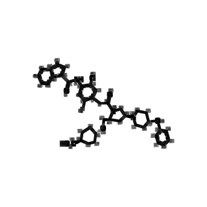 O=C(Nc1cc(F)c(CC(=O)N2C[C@@H](N3CCC(Oc4ccccc4)CC3)C[C@H]2CO[C@H]2CC[C@H](C(=O)O)CC2)cc1Cl)c1csc2ccccc12